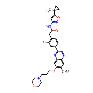 COc1cc2ncc(-c3ccc(CC(=O)Nc4cc(C5(C(F)(F)F)CC5)on4)c(F)c3)nc2cc1OCCCN1CCOCC1